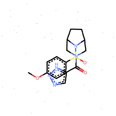 COc1ccc([S+]([O-])N2C3CCC2CN(C(=O)c2cnn[nH]2)C3)cc1